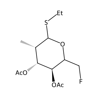 CCSC1OC(CF)[C@@H](OC(C)=O)[C@H](OC(C)=O)[C@@H]1C